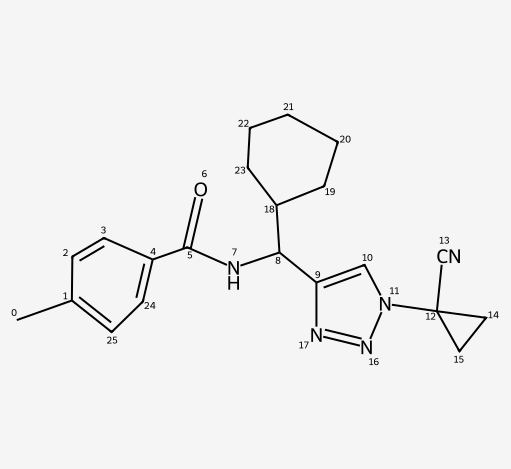 Cc1ccc(C(=O)NC(c2cn(C3(C#N)CC3)nn2)C2CCCCC2)cc1